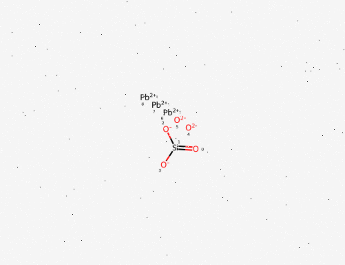 O=[Si]([O-])[O-].[O-2].[O-2].[Pb+2].[Pb+2].[Pb+2]